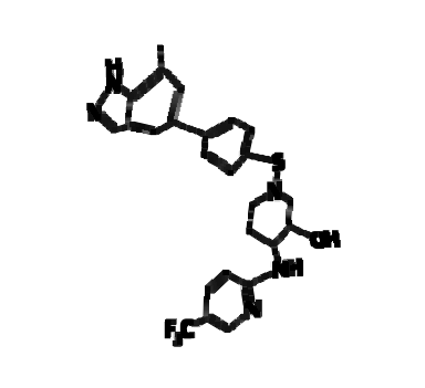 Cc1cc(-c2ccc(SN3CCC(Nc4ccc(C(F)(F)F)cn4)C(O)C3)cc2)cc2cn[nH]c12